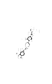 COc1cc(NC(=O)N2CC=C(c3ncc(C(F)(F)C(O)CO)cc3Cl)CC2)ccc1C(F)(F)F